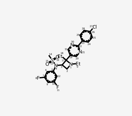 CCN1CC(N(c2cc(F)cc(F)c2)S(C)(=O)=O)C1(CC)c1cnc(-c2ccc(Cl)cc2)nc1